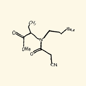 COC(=O)C(C)N(CCC(C)(C)C)C(=O)CC#N